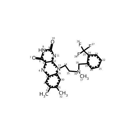 Cc1cc2nc3c(=O)[nH]c(=O)nc-3n(CCN(C)Cc3ccccc3C(F)(F)F)c2cc1C